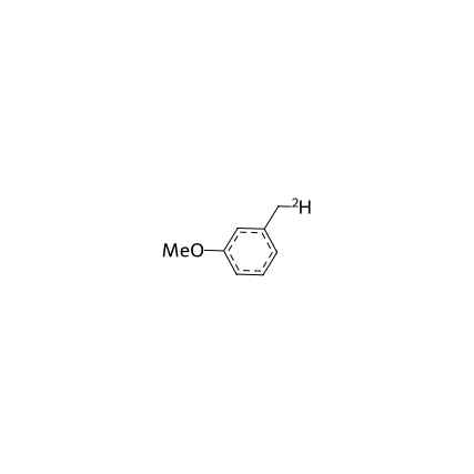 [2H]Cc1cccc(OC)c1